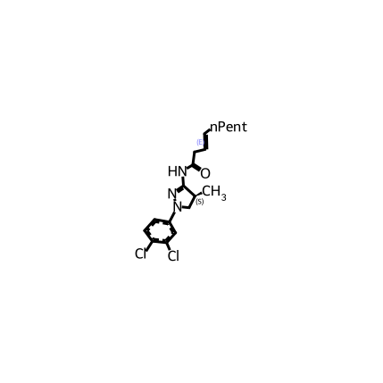 CCCCC/C=C/CC(=O)NC1=NN(c2ccc(Cl)c(Cl)c2)C[C@@H]1C